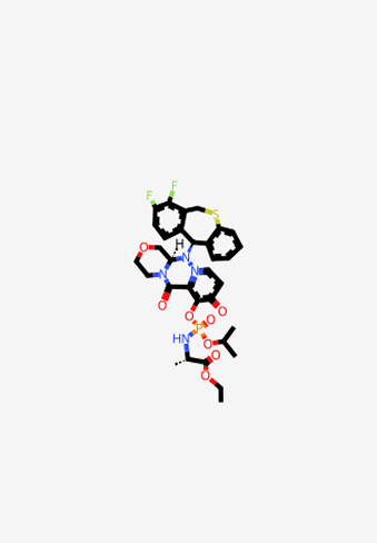 CCOC(=O)[C@H](C)NP(=O)(Oc1c2n(ccc1=O)N([C@@H]1c3ccccc3SCc3c1ccc(F)c3F)[C@@H]1COCCN1C2=O)OC(C)C